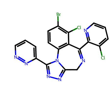 Clc1cccnc1C1=NCc2nnc(-c3cccnn3)n2-c2ccc(Br)c(Cl)c21